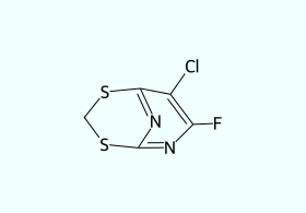 Fc1nc2nc(c1Cl)SCS2